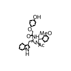 COc1ccccc1CN(C[C@@H](Cc1c[nH]c2ccccc12)NC(=O)COc1ccc(O)cc1)C(C)=O